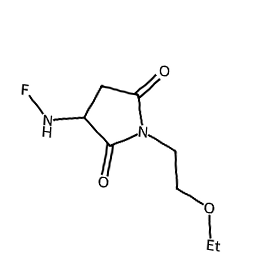 CCOCCN1C(=O)CC(NF)C1=O